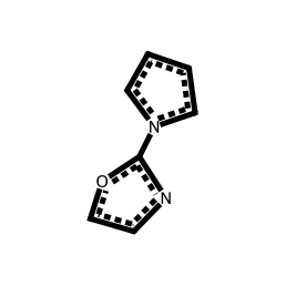 c1ccn(-c2ncco2)c1